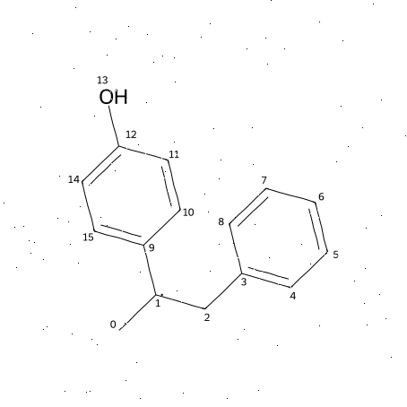 C[C](Cc1ccccc1)c1ccc(O)cc1